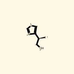 OC[C@H](I)c1cscn1